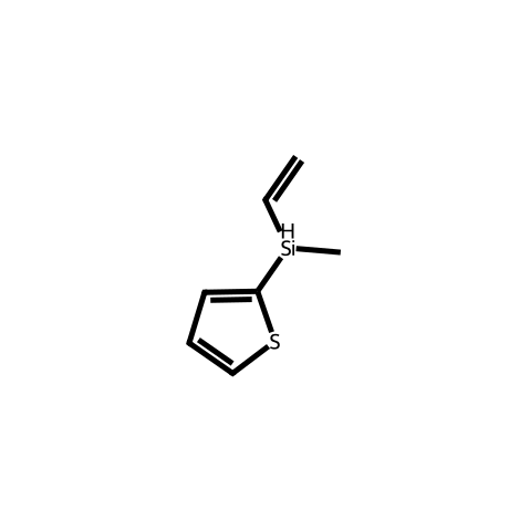 C=C[SiH](C)c1cccs1